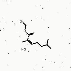 CC(=CCCN(C)C)C(=O)OCCl.Cl